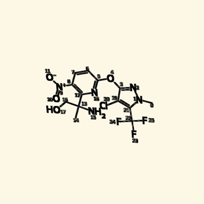 Cn1nc(Oc2ccc([N+](=O)[O-])c(C(C)(N)CO)n2)c(Cl)c1C(F)(F)F